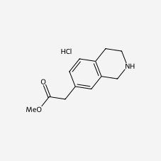 COC(=O)Cc1ccc2c(c1)CNCC2.Cl